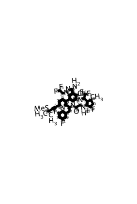 CSC(C)(C)C#Cc1ccc(-c2ccc(Cl)c3c(N)nn(CC(F)F)c23)c(C(Cc2cc(F)cc(F)c2)NC(=O)CNC2=C(C(=N)C(F)F)[C@@H](C)CC2(F)F)n1